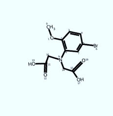 COc1ccc(Br)cc1N(CC(=O)O)CC(=O)O